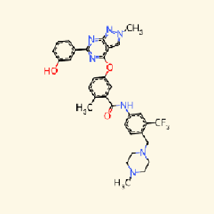 Cc1ccc(Oc2nc(-c3cccc(O)c3)nc3nn(C)cc23)cc1C(=O)Nc1ccc(CN2CCN(C)CC2)c(C(F)(F)F)c1